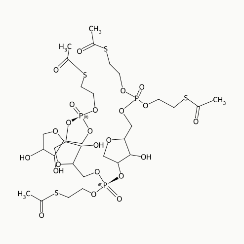 CC(=O)SCCOP(=O)(OCCSC(C)=O)OCC1OCC(O[P@@](=O)(OCCSC(C)=O)OCC2OCC(O[P@@](=O)(OCCSC(C)=O)OCC3OCC(O)C3O)C2O)C1O